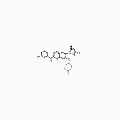 Cc1c[nH]c(-c2cc3cnc(Nc4cccc(F)c4)nc3cc2OC2CCNCC2)n1